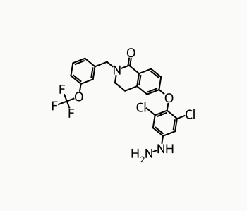 NNc1cc(Cl)c(Oc2ccc3c(c2)CCN(Cc2cccc(OC(F)(F)F)c2)C3=O)c(Cl)c1